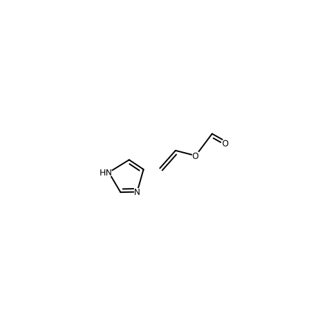 C=COC=O.c1c[nH]cn1